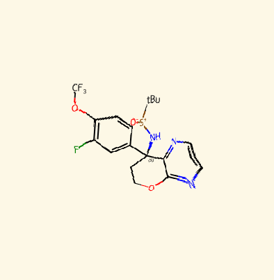 CC(C)(C)[S+]([O-])N[C@]1(c2ccc(OC(F)(F)F)c(F)c2)CCOc2nccnc21